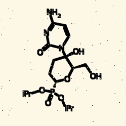 CC(C)OP(=O)(OC(C)C)[C@@H]1CC[C@](O)(n2ccc(N)nc2=O)[C@@H](CO)O1